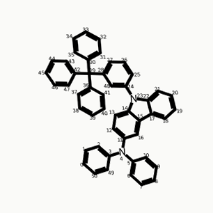 c1ccc(N(c2ccccc2)c2ccc3c(c2)c2ccccc2n3-c2cccc(C(c3ccccc3)(c3ccccc3)c3ccccc3)c2)cc1